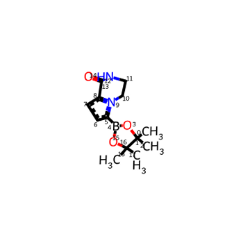 CC1(C)OB(c2ccc3n2CCNC3=O)OC1(C)C